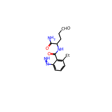 CCc1cccc(N=N)c1C(=O)NC(CCC=O)C(N)=O